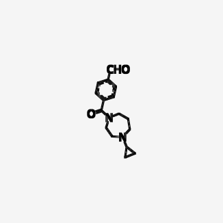 O=Cc1ccc(C(=O)N2CCCN(C3CC3)CC2)cc1